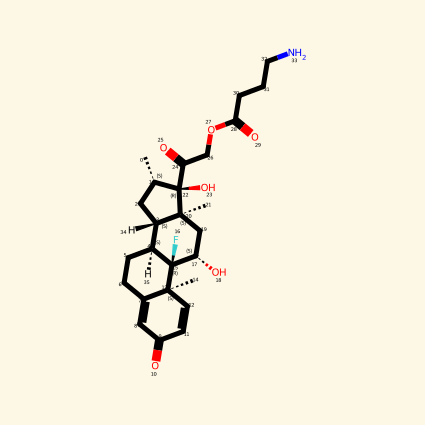 C[C@H]1C[C@H]2[C@@H]3CCC4=CC(=O)C=C[C@]4(C)[C@@]3(F)[C@@H](O)C[C@]2(C)[C@@]1(O)C(=O)COC(=O)CCCN